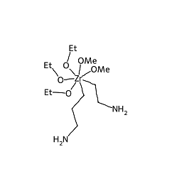 CC[O][Zr]([CH2]CN)([CH2]CCN)([O]C)([O]C)([O]CC)[O]CC